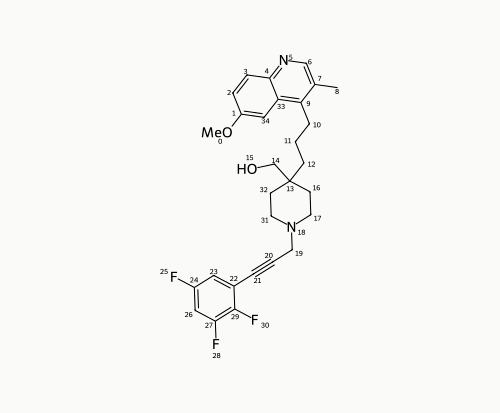 COc1ccc2ncc(C)c(CCCC3(CO)CCN(CC#Cc4cc(F)cc(F)c4F)CC3)c2c1